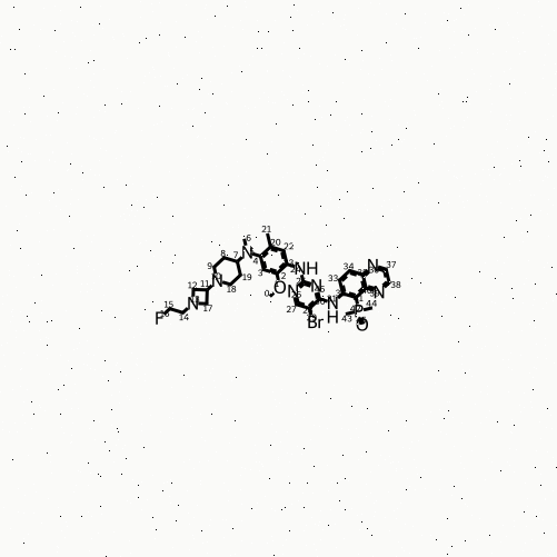 COc1cc(N(C)C2CCN(C3CN(CCF)C3)CC2)c(C)cc1Nc1ncc(Br)c(Nc2ccc3nccnc3c2P(C)(C)=O)n1